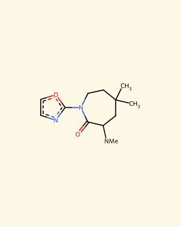 CNC1CC(C)(C)CCN(c2ncco2)C1=O